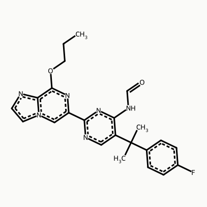 CCCOc1nc(-c2ncc(C(C)(C)c3ccc(F)cc3)c(NC=O)n2)cn2ccnc12